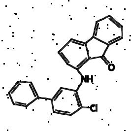 O=C1c2ccccc2-c2cccc(Nc3cc(-c4ccccc4)ccc3Cl)c21